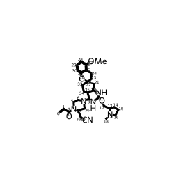 C=CC(=O)N1CCN(C2NC(OCC3CCCN3C)NC3C[C@@]4(CCc5c(OC)cccc5O4)CCC32)CC1CC#N